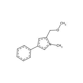 COCc1cc(-c2ccccc2)cn1C